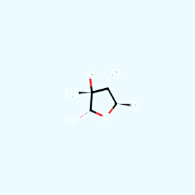 B[C@@H]1O[C@H](CC)[C@@H](O)[C@@]1(C)O